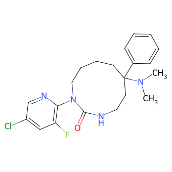 CN(C)C1(c2ccccc2)CCCCN(c2ncc(Cl)cc2F)C(=O)NCC1